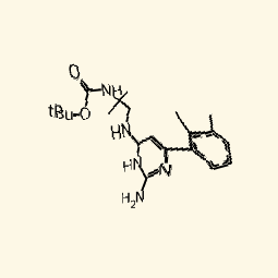 Cc1cccc(C2=CC(NCC(C)(C)NC(=O)OC(C)(C)C)NC(N)=N2)c1C